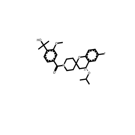 COc1cc(C(=O)N2CCC3(CC2)C[C@@H](OC(C)C)c2cc(F)ccc2O3)ccc1C(C)(C)O